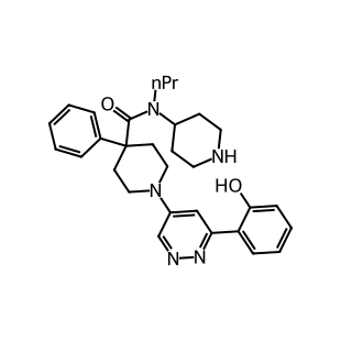 CCCN(C(=O)C1(c2ccccc2)CCN(c2cnnc(-c3ccccc3O)c2)CC1)C1CCNCC1